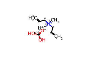 C=CC[N+](C)(C)CC=C.O=C(O)O